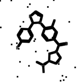 Cc1cc(C(=O)N2CC[C@@H](N(C)C)C2)ccc1N1C=CSC1c1ccc(F)cc1